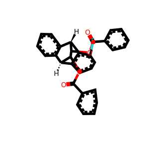 O=C(OC1C(OC(=O)c2ccccc2)[C@@H]2c3ccccc3[C@@H]1c1cccc(F)c12)c1ccccc1